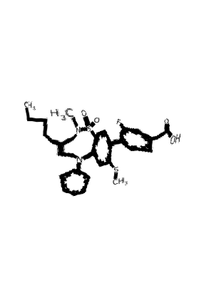 CCCCC1CN(c2ccccc2)c2cc(SC)c(-c3ccc(C(=O)O)cc3F)cc2S(=O)(=O)N1C